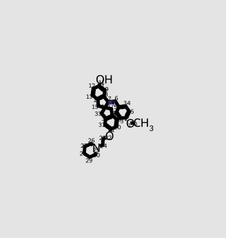 COc1ccc(/C=C2/c3cc(O)ccc3CC23Cc2ccc(OCCN4CCCCC4)cc2C3)cc1